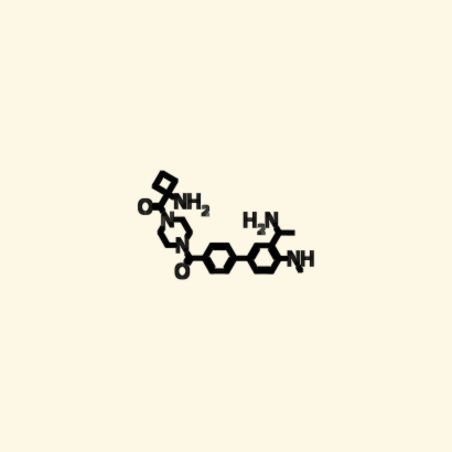 CNc1ccc(-c2ccc(C(=O)N3CCN(C(=O)C4(N)CCC4)CC3)cc2)cc1C(C)N